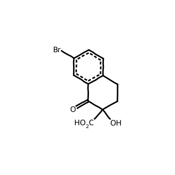 O=C(O)C1(O)CCc2ccc(Br)cc2C1=O